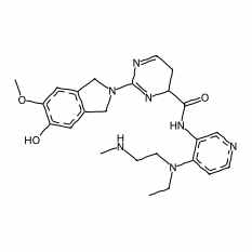 CCN(CCNC)c1ccncc1NC(=O)C1CC=NC(N2Cc3cc(O)c(OC)cc3C2)=N1